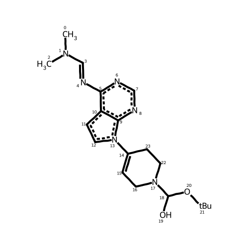 CN(C)/C=N/c1ncnc2c1ccn2C1=CCN(C(O)OC(C)(C)C)CC1